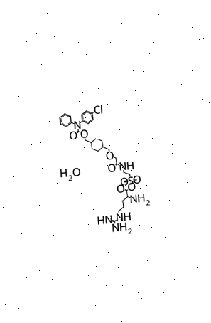 N=C(N)NCCC[C@H](N)C(=O)OS(=O)(=O)CCNC(=O)COCC1CCC(COC(=O)N(c2ccccc2)c2ccc(Cl)cc2)CC1.O